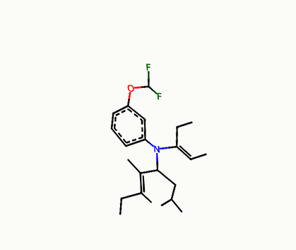 C/C=C(\CC)N(c1cccc(OC(F)F)c1)C(CC(C)C)/C(C)=C(\C)CC